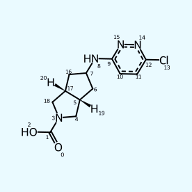 O=C(O)N1C[C@H]2CC(Nc3ccc(Cl)nn3)C[C@H]2C1